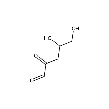 O=CC(=O)CC(O)CO